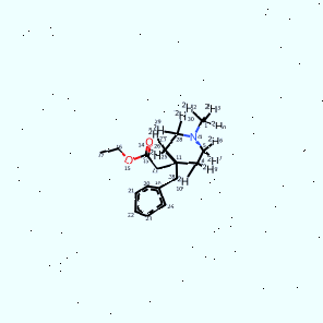 [2H]C([2H])([2H])N1C([2H])([2H])C([2H])([2H])C(CC(=O)OCC)(Cc2ccccc2)C([2H])([2H])C1([2H])[2H]